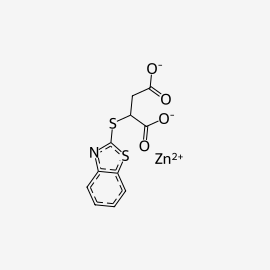 O=C([O-])CC(Sc1nc2ccccc2s1)C(=O)[O-].[Zn+2]